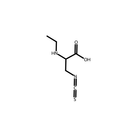 CCNC(CN=C=S)C(=O)O